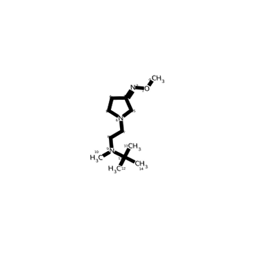 CON=C1CCN(CCN(C)C(C)(C)C)C1